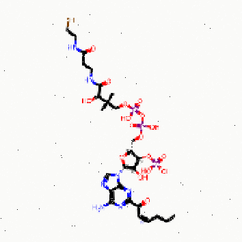 CCC/C=C\C(=O)c1nc(N)c2ncn([C@@H]3O[C@H](COP(=O)(O)OP(=O)(O)OCC(C)(C)C(O)C(=O)NCCC(=O)NCCS)[C@@H](OP(=O)(O)O)[C@H]3O)c2n1